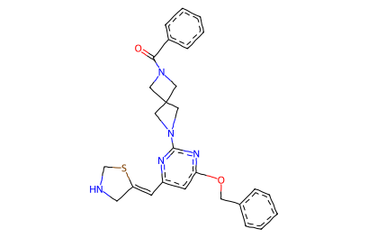 O=C(c1ccccc1)N1CC2(C1)CN(c1nc(C=C3CNCS3)cc(OCc3ccccc3)n1)C2